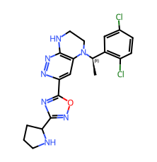 C[C@H](c1cc(Cl)ccc1Cl)N1CCNc2nnc(-c3nc(C4CCCN4)no3)cc21